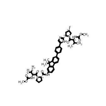 COC(=O)N[C@H](C(=O)N1CCC[C@H]1C(=O)Nc1ccc2c(c1)C(C)(C)c1cc(-c3ccc(-c4cnc([C@@H]5C[C@H](F)CN5C(=O)[C@@H](NC(=O)OC)C(C)C)[nH]4)cc3)ccc1-2)C(C)C